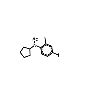 CC(=O)N(c1ccc(I)cc1C)C1CCCC1